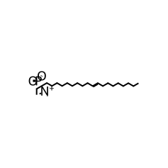 CCCCCCCCC=CCCCCCCCCCC(CC)(P(=O)=O)[N+](C)(C)C